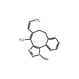 C/C=C\C1=C(/C)c2nnn(C(C)CC)c2-c2ccccc2CC1